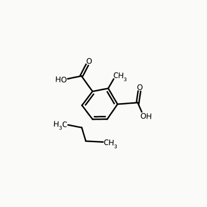 CCCC.Cc1c(C(=O)O)cccc1C(=O)O